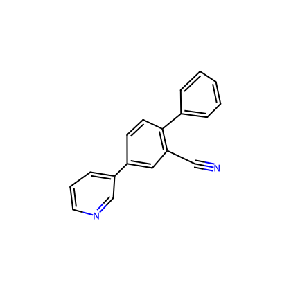 N#Cc1cc(-c2cccnc2)ccc1-c1ccccc1